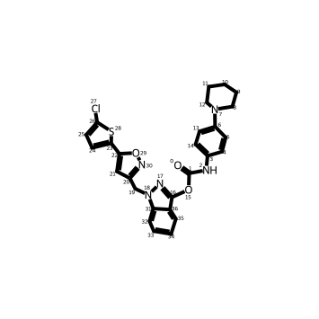 O=C(Nc1ccc(N2CCCCC2)cc1)Oc1nn(Cc2cc(-c3ccc(Cl)s3)on2)c2ccccc12